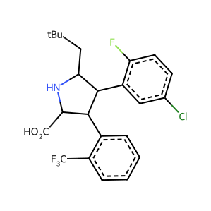 CC(C)(C)CC1NC(C(=O)O)C(c2ccccc2C(F)(F)F)C1c1cc(Cl)ccc1F